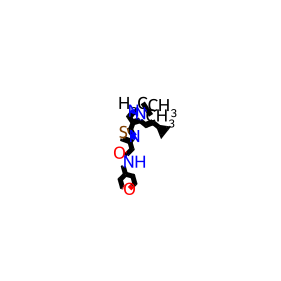 CC(C)(C)n1ncc(-c2nc(CC(=O)NCC3CCOCC3)cs2)c1C=CC1CC1